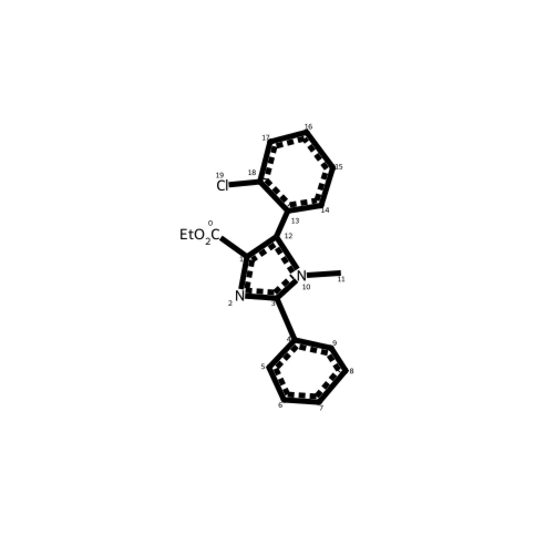 CCOC(=O)c1nc(-c2ccccc2)n(C)c1-c1ccccc1Cl